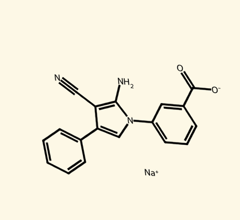 N#Cc1c(-c2ccccc2)cn(-c2cccc(C(=O)[O-])c2)c1N.[Na+]